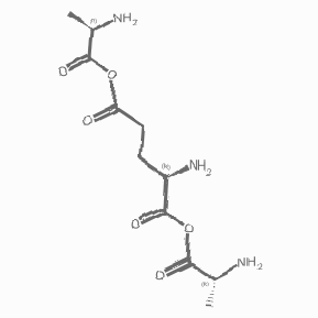 C[C@@H](N)C(=O)OC(=O)CC[C@@H](N)C(=O)OC(=O)[C@@H](C)N